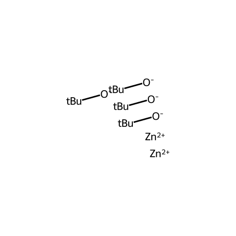 CC(C)(C)[O-].CC(C)(C)[O-].CC(C)(C)[O-].CC(C)(C)[O-].[Zn+2].[Zn+2]